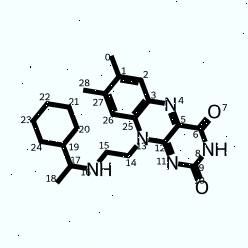 Cc1cc2nc3c(=O)[nH]c(=O)nc-3n(CCNC(C)C3CCCCC3)c2cc1C